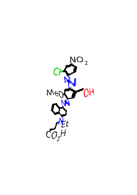 CCN(CCCC(=O)O)c1ccc(N=Nc2cc(CO)c(N=Nc3ccc([N+](=O)[O-])cc3Cl)cc2OC)c2ccccc12